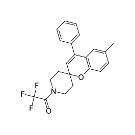 Cc1ccc2c(c1)C(c1ccccc1)=CC1(CCN(C(=O)C(F)(F)F)CC1)O2